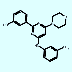 Cc1cccc(Nc2cc(N3CCOCC3)nc(-c3cccc(O)c3)n2)c1